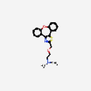 CN(C)CCOCc1nc2c(s1)-c1ccccc1Oc1ccccc1-2